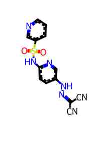 N#CC(C#N)=NNc1ccc(NS(=O)(=O)c2cccnc2)nc1